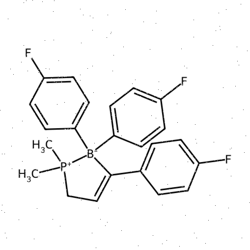 C[P+]1(C)CC=C(c2ccc(F)cc2)[B-]1(c1ccc(F)cc1)c1ccc(F)cc1